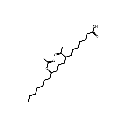 CCCCCCCC(CCCC(CCCCCCC(=O)O)C(C)=O)OC(C)=O